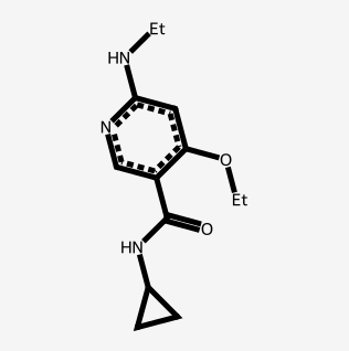 CCNc1cc(OCC)c(C(=O)NC2CC2)cn1